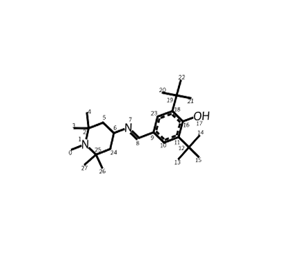 CN1C(C)(C)CC(N=Cc2cc(C(C)(C)C)c(O)c(C(C)(C)C)c2)CC1(C)C